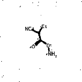 CCC(C#N)C(=O)ON